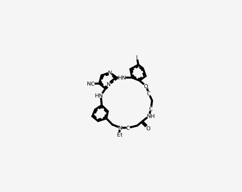 CCN1CCC(=O)NCCCOc2ccc(I)cc2Nc2ncc(C#N)c(n2)Nc2cccc(c2)C1